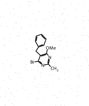 COc1nc(C)nc(Br)c1Cc1ccccc1